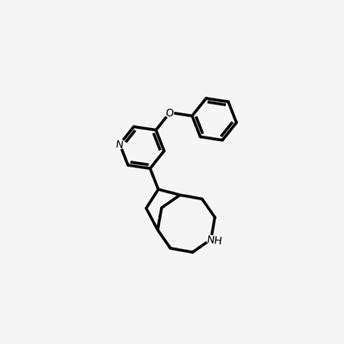 c1ccc(Oc2cncc(C3CC4CCNCCC3C4)c2)cc1